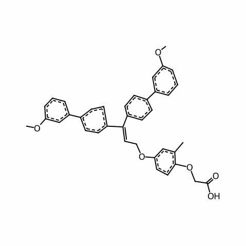 COc1cccc(-c2ccc(C(=CCOc3ccc(OCC(=O)O)c(C)c3)c3ccc(-c4cccc(OC)c4)cc3)cc2)c1